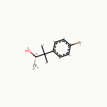 CC(C)(c1ccc(Br)cc1)[C@@H](O)C(F)(F)F